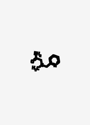 CN(CC(N)=O)Cc1ccccn1